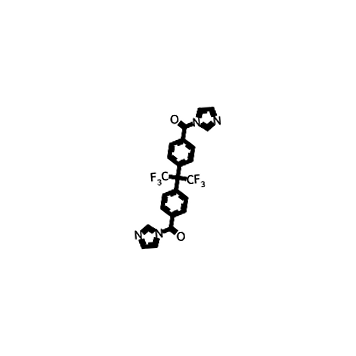 O=C(c1ccc(C(c2ccc(C(=O)n3ccnc3)cc2)(C(F)(F)F)C(F)(F)F)cc1)n1ccnc1